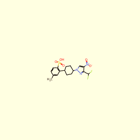 Cc1ccc(S(=O)(=O)O)c(C2CCC(n3cc([N+](=O)[O-])c(C(F)F)n3)CC2)c1